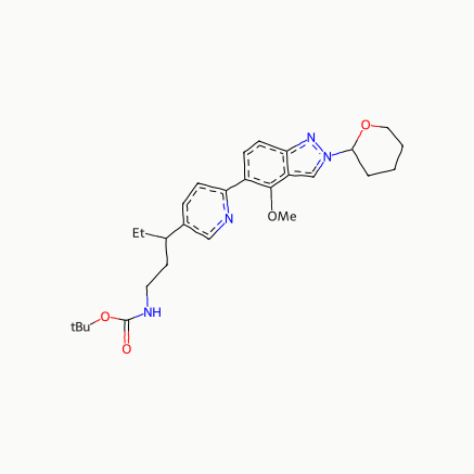 CCC(CCNC(=O)OC(C)(C)C)c1ccc(-c2ccc3nn(C4CCCCO4)cc3c2OC)nc1